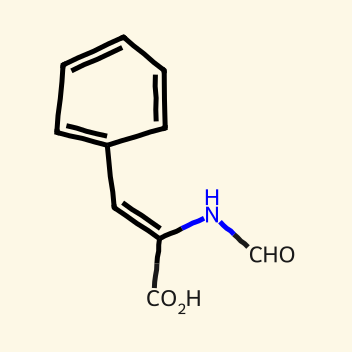 O=CN/C(=C\c1ccccc1)C(=O)O